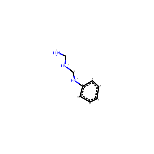 NCNCNc1ccccc1